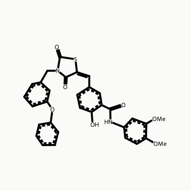 COc1ccc(NC(=O)c2cc(/C=C3/SC(=O)N(Cc4cccc(Oc5ccccc5)c4)C3=O)ccc2O)cc1OC